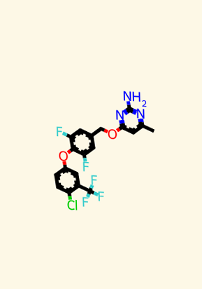 Cc1cc(OCc2cc(F)c(Oc3ccc(Cl)c(C(F)(F)F)c3)c(F)c2)nc(N)n1